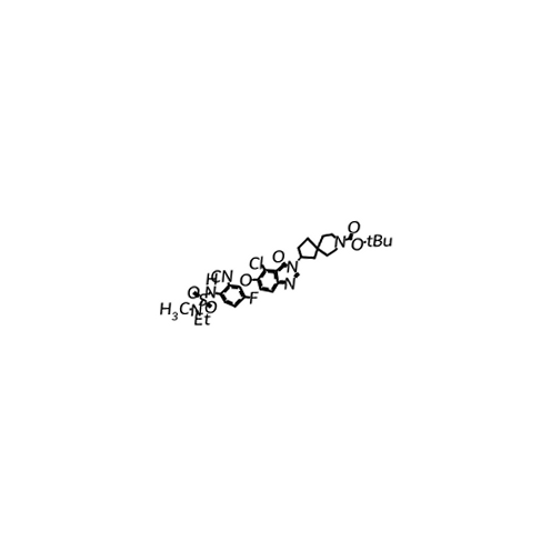 CCN(C)S(=O)(=O)Nc1ccc(F)c(Oc2ccc3ncn([C@H]4CCC5(CCN(C(=O)OC(C)(C)C)CC5)C4)c(=O)c3c2Cl)c1C#N